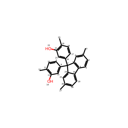 Cc1ccc2c(c1)C(c1ccc(C)c(O)c1)(c1ccc(C)c(O)c1)c1cc(C)ccc1-2